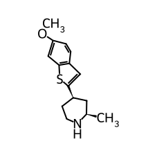 COc1ccc2cc([C@@H]3CCN[C@H](C)C3)sc2c1